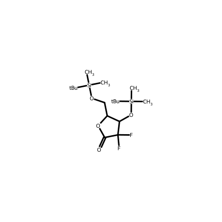 CC(C)(C)[Si](C)(C)OCC1OC(=O)C(F)(F)C1O[Si](C)(C)C(C)(C)C